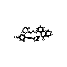 O=C(Nc1nnc(C#Cc2ccc(Cl)cc2)s1)c1ccncc1-c1cccc(OCCN2CCOCC2)c1